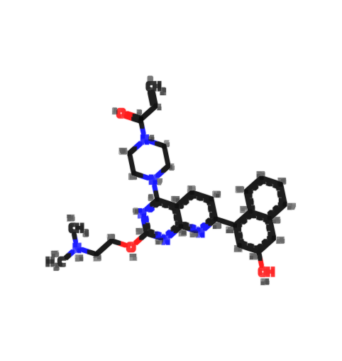 C=CC(=O)N1CCN(c2nc(OCCN(C)C)nc3nc(-c4cc(O)cc5ccccc45)ccc23)CC1